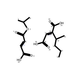 CC(C)OC(=O)/C=C/C(=O)O.CCCC(C)/C(=C\C(=O)O)C(=O)O